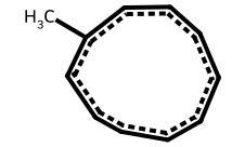 Cc1ccccccccc1